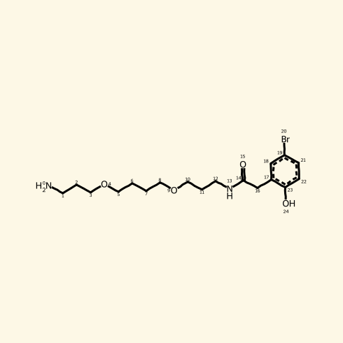 NCCCOCCCCOCCCNC(=O)Cc1cc(Br)ccc1O